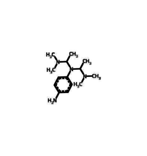 CC(N(C)C)N(c1ccc(N)cc1)C(C)N(C)C